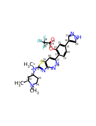 C[C@H]1C[C@@H](N(C)c2nc3nnc(-c4ccc(-c5cn[nH]c5)cc4OC(=O)C(F)(F)F)cc3s2)CCN1C